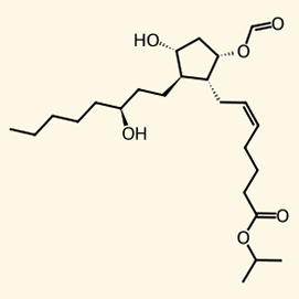 CCCCC[C@H](O)CC[C@@H]1[C@@H](C/C=C\CCCC(=O)OC(C)C)[C@@H](OC=O)C[C@H]1O